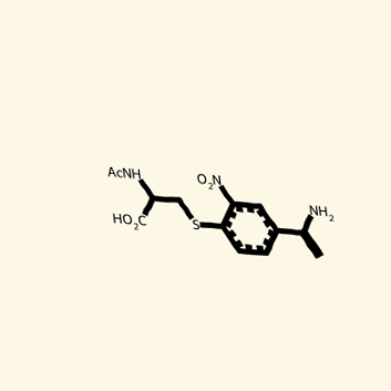 C=C(N)c1ccc(SCC(NC(C)=O)C(=O)O)c([N+](=O)[O-])c1